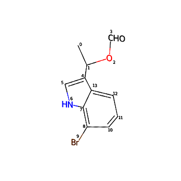 CC(OC=O)c1c[nH]c2c(Br)cccc12